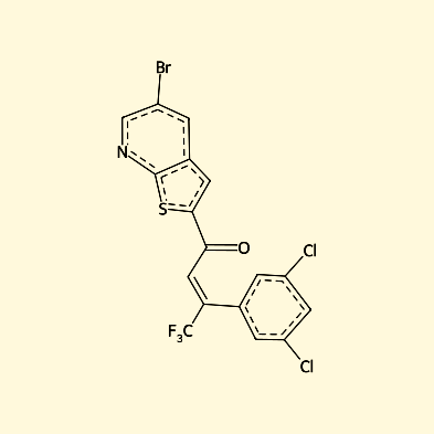 O=C(C=C(c1cc(Cl)cc(Cl)c1)C(F)(F)F)c1cc2cc(Br)cnc2s1